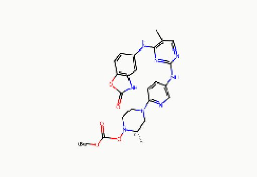 Cc1cnc(Nc2ccc(N3CCN(OC(=O)OC(C)(C)C)[C@@H](C)C3)nc2)nc1Nc1ccc2oc(=O)[nH]c2c1